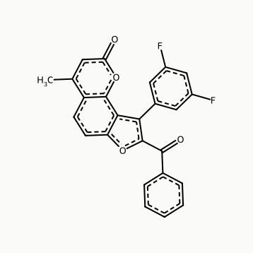 Cc1cc(=O)oc2c1ccc1oc(C(=O)c3ccccc3)c(-c3cc(F)cc(F)c3)c12